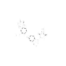 O=C1NC(=O)C(C2c3ccc(Oc4ccc(S(F)(F)(F)(F)F)cc4Cl)cc3C3CC2C3)S1